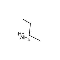 CCCC.F.[AlH3]